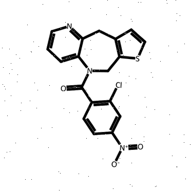 O=C(c1ccc([N+](=O)[O-])cc1Cl)N1Cc2sccc2Cc2ncccc21